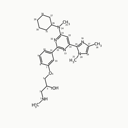 CNCC(O)COc1cccc(-c2nc(-c3nc(C)cn3C)cc(N(C)C3CCCCC3)n2)c1